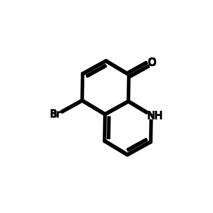 O=C1C=CC(Br)C2=CC=CNC12